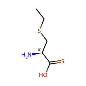 CCSC[C@H](N)C(O)=S